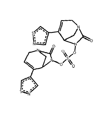 O=C1N2CC=C(c3cnsc3)C(C2)N1OS(=O)(=O)ON1C(=O)N2CC=C(c3cnsc3)C1C2